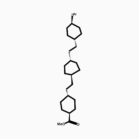 CCC[C@H]1CC[C@H](CC[C@H]2CC[C@H](CC[C@H]3CC[C@H](C(=O)OC)CC3)CC2)CC1